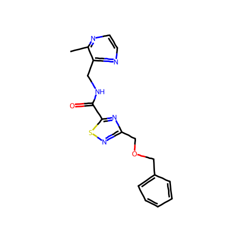 Cc1nccnc1CNC(=O)c1nc(COCc2ccccc2)ns1